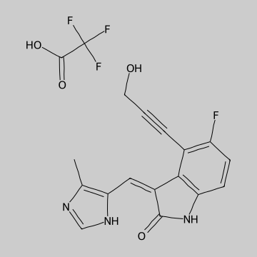 Cc1nc[nH]c1C=C1C(=O)Nc2ccc(F)c(C#CCO)c21.O=C(O)C(F)(F)F